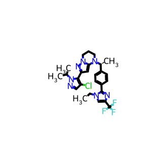 CCn1cc(C(F)(F)F)nc1-c1ccc([C@@H](C)N2CCCn3nc(-c4c(Cl)cnn4C(C)C)cc32)cc1